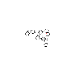 c1ccc(-c2ccc3c(c2)c2c(-c4nc(-c5ccccc5)nc(-c5ccccc5)n4)cccc2n3-c2ccc3oc4ccccc4c3c2)cc1